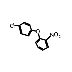 O=[N+]([O-])c1ccccc1Oc1ccc(Cl)cc1